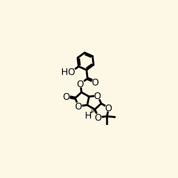 CC1(C)OC2OC3C(OC(=O)c4ccccc4O)C(=O)OC3[C@@H]2O1